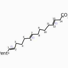 CCCCC/C=C/CCC/C=C/CCCC/C=C/CC(=O)O